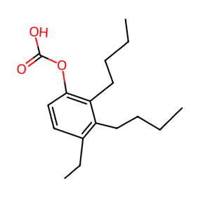 CCCCc1c(CC)ccc(OC(=O)O)c1CCCC